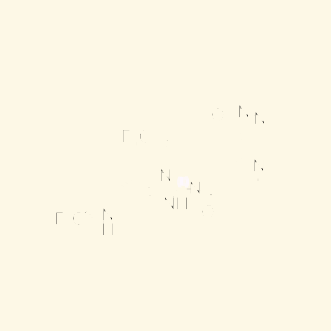 Cc1cc2cc(n1)-c1cnn(C)c1OCCC[C@@H](C(F)(F)F)CN1/C(=N/C2=O)Nc2cc(N[C@H](C)C(F)(F)F)ccc21